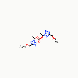 CC(=O)COCc1nnn(C(C)OC(=O)OC(C)n2nnc(COCC(C)=O)n2)n1